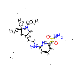 CC1(C)C[C@H](CCNc2cccc(S(N)(=O)=O)n2)CN1C(=O)O